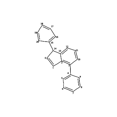 [C]1=Cc2c(-c3ccccc3)cccc2C1c1ccccc1